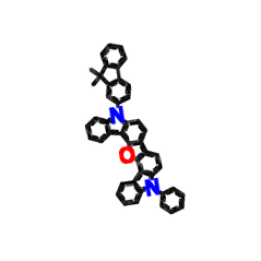 CC1(C)c2ccccc2-c2ccc(-n3c4ccccc4c4c5oc6c(ccc7c6c6ccccc6n7-c6ccccc6)c5ccc43)cc21